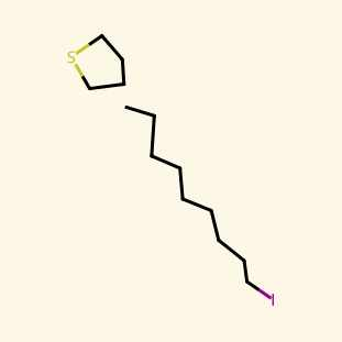 C1CCSC1.CCCCCCCCCI